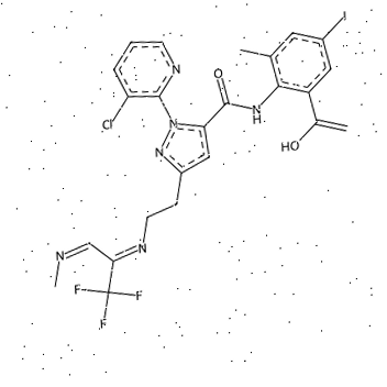 C=C(O)c1cc(I)cc(C)c1NC(=O)c1cc(CC/N=C(\C=N/C)C(F)(F)F)nn1-c1ncccc1Cl